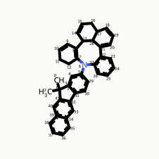 CC1(C)c2cc(N3C4=C(C=CCC4)C4C=CCC5C=CC=C(c6ccccc63)C54)ccc2-c2cc3ccccc3cc21